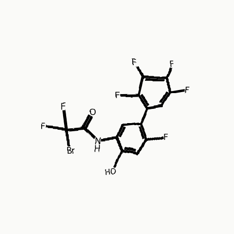 O=C(Nc1cc(-c2cc(F)c(F)c(F)c2F)c(F)cc1O)C(F)(F)Br